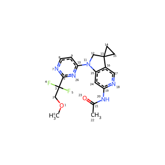 COCC(F)(F)c1nccc(N2CC3(CC3)c3cnc(NC(C)=O)cc32)n1